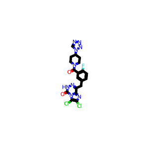 O=C(c1cc(Cc2n[nH]c(=O)n3c(Cl)c(Cl)nc23)ccc1F)N1CCC(n2cnnn2)CC1